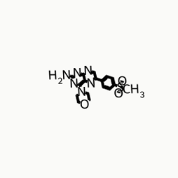 CS(=O)(=O)c1ccc(-c2cnc3nc(N)nc(N4CCOCC4)c3n2)cc1